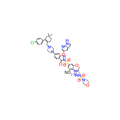 CC1(C)CCC(CN2CCN(c3ccc(C(=O)NS(=O)(=O)c4cc5c(c([N+](=O)[O-])c4)N[C@@H](CNS(=O)(=O)N4CCOCC4)CO5)c(Oc4cnc5[nH]ccc5c4)c3)CC2)=C(c2ccc(Cl)cc2)C1